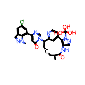 CC1CCCC(n2cnc(-c3cc(Cl)cc4cnn(C)c34)cc2=O)c2cc(ccn2)-c2c(cnn2C(O)(O)O)NC1=O